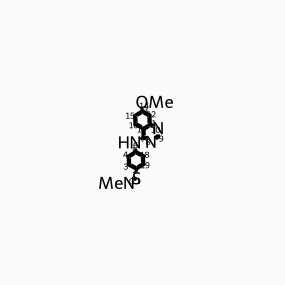 CNSc1ccc(Nc2ncnc3cc(OC)ccc23)cc1